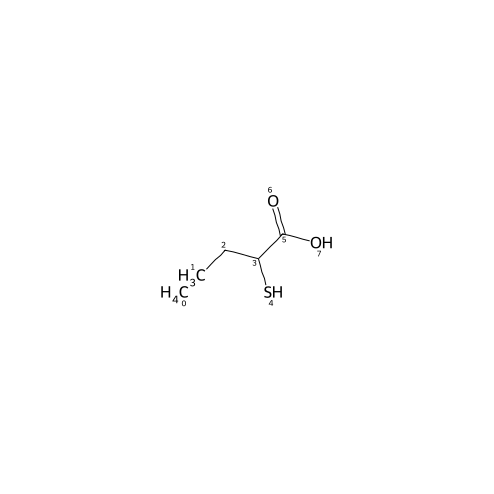 C.CCC(S)C(=O)O